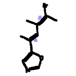 C/C(=C\C(C)=C(/C)Br)c1cnco1